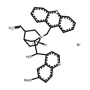 C=CC1C[N+]2(Cc3c4ccccc4nc4ccccc34)CCC1C[C@H]2C(O)c1ccnc2ccc(OC)cc12.[Br-]